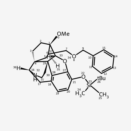 CO[C@]12CC[C@@]3(C[C@@H]1COCc1ccccc1)[C@H]1Cc4ccc(O[Si](C)(C)C(C)(C)C)c5c4[C@@]3(CCN1)[C@H]2O5